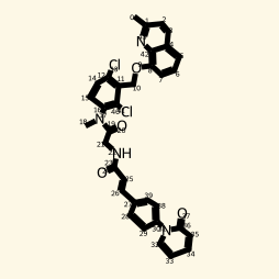 Cc1ccc2cccc(OCc3c(Cl)ccc(N(C)C(=O)CNC(=O)/C=C/c4ccc(-n5ccccc5=O)cc4)c3Cl)c2n1